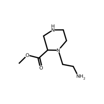 COC(=O)C1CNCCN1CCN